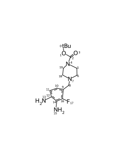 CC(C)(C)OC(=O)N1CCN(Cc2ccc(N)c(N)c2F)CC1